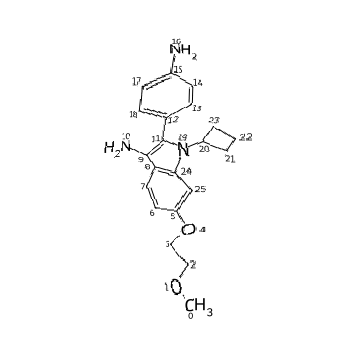 COCCOc1ccc2c(N)c(-c3ccc(N)cc3)n(C3CCC3)c2c1